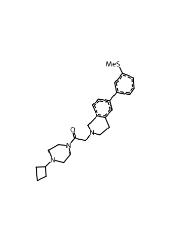 CSc1cccc(-c2ccc3c(c2)CCN(CC(=O)N2CCN(C4CCC4)CC2)C3)c1